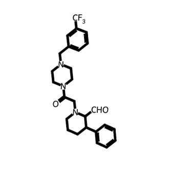 O=CC1C(c2ccccc2)CCCN1CC(=O)N1CCN(Cc2cccc(C(F)(F)F)c2)CC1